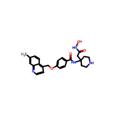 Cc1ccc2c(COc3ccc(C(=O)NC4(CC(=O)NO)CCNCC4)cc3)ccnc2c1